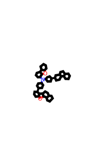 c1ccc2c(c1)ccc1cc(-c3ccc(N(c4ccc(-c5cccc6oc7c8ccccc8ccc7c56)cc4)c4cccc5c4oc4ccccc45)cc3)ccc12